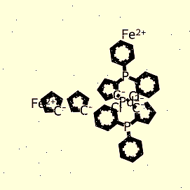 [Cl][Pd-2]([Cl])([c-]1cccc1P(c1ccccc1)c1ccccc1)[c-]1cccc1P(c1ccccc1)c1ccccc1.[Fe+2].[Fe+2].c1cc[cH-]c1.c1cc[cH-]c1